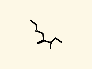 CCOCC(=O)N(C)CC